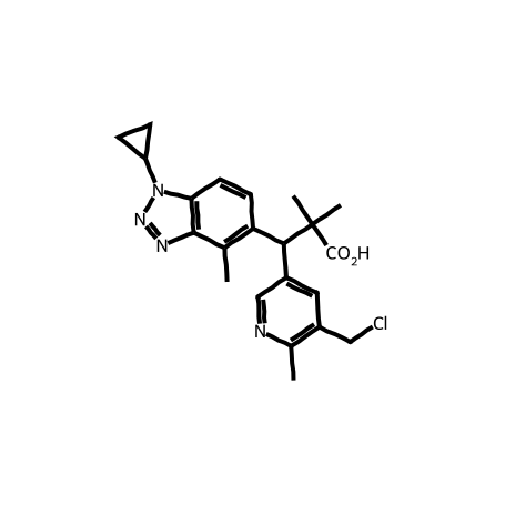 Cc1ncc(C(c2ccc3c(nnn3C3CC3)c2C)C(C)(C)C(=O)O)cc1CCl